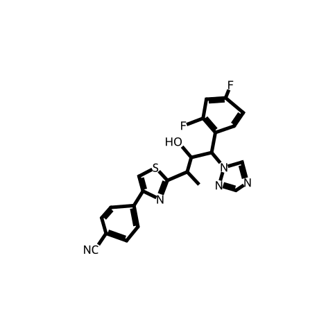 CC(c1nc(-c2ccc(C#N)cc2)cs1)C(O)C(c1ccc(F)cc1F)n1cncn1